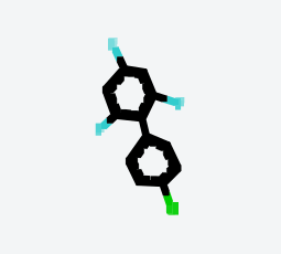 Fc1cc(F)c(-c2ccc(Cl)cc2)c(F)c1